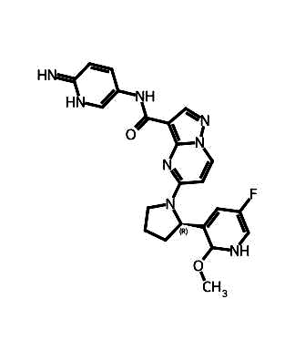 COC1NC=C(F)C=C1[C@H]1CCCN1c1ccn2ncc(C(=O)Nc3ccc(=N)[nH]c3)c2n1